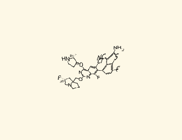 C[C@H]1NCC[C@@H]1Oc1nc(OCC23CCCN2C[C@H](F)C3)nc2c(F)c(-c3ccc(F)c4sc(N)c(C#N)c34)c(Cl)cc12